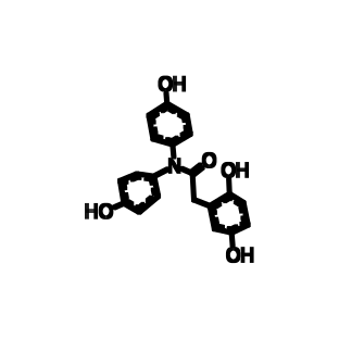 O=C(Cc1cc(O)ccc1O)N(c1ccc(O)cc1)c1ccc(O)cc1